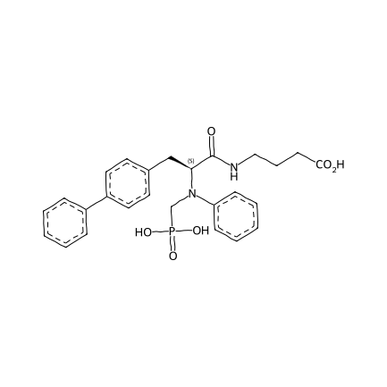 O=C(O)CCCNC(=O)[C@H](Cc1ccc(-c2ccccc2)cc1)N(CP(=O)(O)O)c1ccccc1